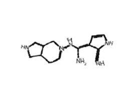 N=C1NC=C/C1=C(/N)NN1CCC2CNCC2C1